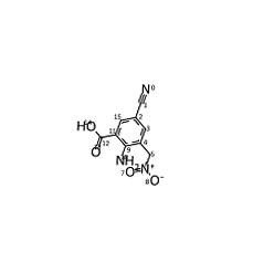 N#Cc1cc(C[N+](=O)[O-])c(N)c(C(=O)O)c1